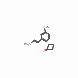 COc1cccc(C=CC(=O)O)c1.O=C1CCC1